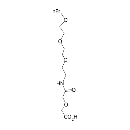 CCCOCCOCCOCCNC(=O)COCC(=O)O